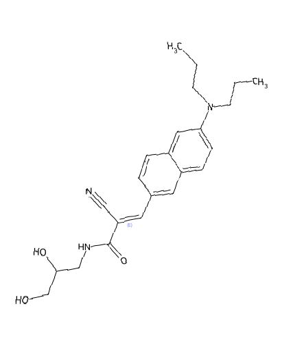 CCCN(CCC)c1ccc2cc(/C=C(\C#N)C(=O)NCC(O)CO)ccc2c1